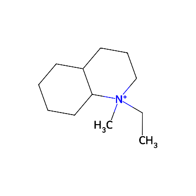 CC[N+]1(C)CCCC2CCCCC21